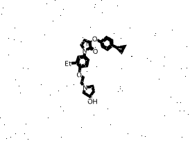 CCc1cc(N2CC[C@H](Oc3ccc(C4CC4)cc3)C2=O)ccc1OCCN1CC[C@H](O)C1